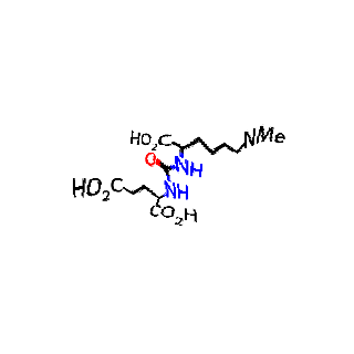 CNCCCCC(NC(=O)NC(CCC(=O)O)C(=O)O)C(=O)O